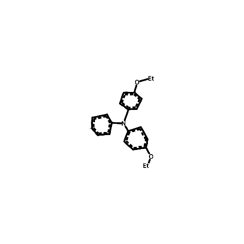 CCOc1ccc(N(c2cc[c]cc2)c2ccc(OCC)cc2)cc1